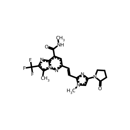 CNC(=O)c1cc(C=Cc2nc(N3CCCC3=O)cn2C)nn2c(C)c(C(F)(F)F)nc12